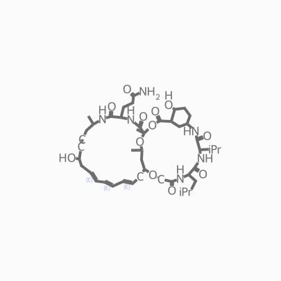 CC(C)CC1NC(=O)COC2C/C=C/C=C/C=C/CC(O)CCCC(C)NC(=O)C(CCC(N)=O)NC(=O)C(C)(OC(=O)C3CC(CCC3O)NC(=O)C(C(C)C)NC1=O)OC(C)C2